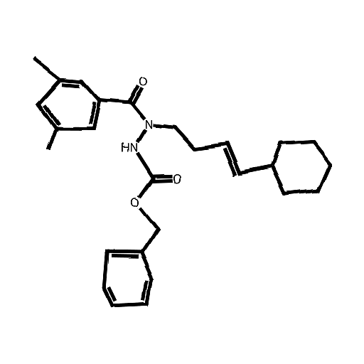 Cc1cc(C)cc(C(=O)N(CCC=CC2CCCCC2)NC(=O)OCc2ccccc2)c1